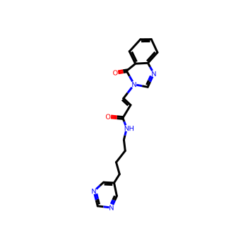 O=C(C=Cn1cnc2ccccc2c1=O)NCCCCc1cncnc1